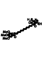 COc1cc(C(=O)NCCCCCCCCCCCn2c(=O)c3c(ncn3C)n(C)c2=O)cc(OC)c1OC